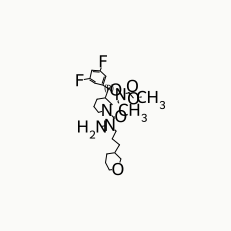 CCN(O[C@@H](c1cc(F)cc(F)c1)C1CCCN(C(=O)N(N)CCCC2CCCOC2)C1)C(=O)OC